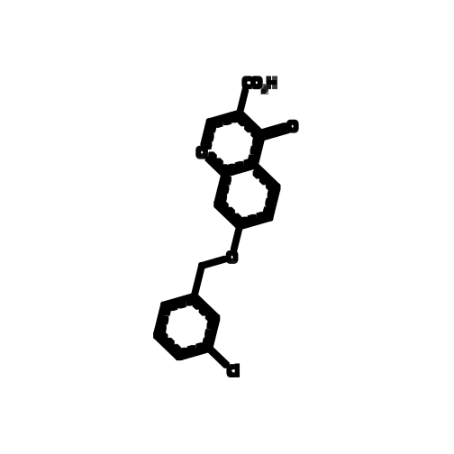 O=C(O)c1coc2cc(OCc3cccc(Cl)c3)ccc2c1=O